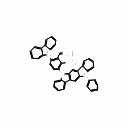 N#Cc1c(-n2c3ccccc3c3cc4c(cc32)c2ccccc2n4-c2ccccc2)ccc(-n2c3ccccc3c3ccccc32)c1C=N